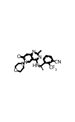 Cc1nc(N[C@H](C)c2cccc(C#N)c2C(F)(F)F)c2cn(N3CCOCC3)c(=O)cc2n1